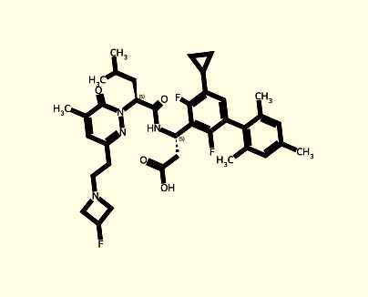 Cc1cc(C)c(-c2cc(C3CC3)c(F)c([C@H](CC(=O)O)NC(=O)[C@H](CC(C)C)n3nc(CCN4CC(F)C4)cc(C)c3=O)c2F)c(C)c1